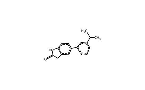 CC(C)c1ccnc(-c2ccc3c(c2)CC(=O)N3)c1